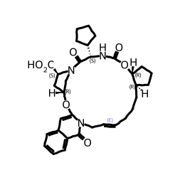 O=C1N[C@@H](C2CCCC2)C(=O)N2C[C@@H](C[C@H]2C(=O)O)Oc2cc3ccccc3c(=O)n2C/C=C/CCC[C@@H]2CCC[C@H]2O1